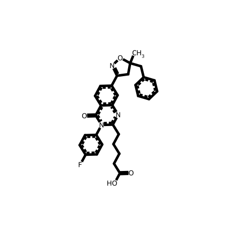 CC1(Cc2ccccc2)CC(c2ccc3c(=O)n(-c4ccc(F)cc4)c(CCCCC(=O)O)nc3c2)=NO1